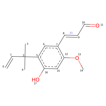 C=CC(C)(C)c1cc(/C=C/[C]=O)c(OC)cc1O